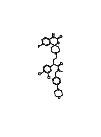 CN(Cc1ccc(N2CCOCC2)cc1)C(=O)C(CCN1CCC2(CC1)OC(=O)Nc1ccc(F)cc12)c1ccc(Cl)c(Cl)c1